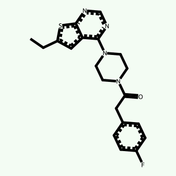 CCc1cc2c(N3CCN(C(=O)Cc4ccc(F)cc4)CC3)ncnc2s1